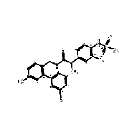 CC(C(=O)NCc1ccc(C(F)(F)F)nc1-c1cccc(Cl)c1)c1ccc(NS(C)(=O)=O)c(F)c1